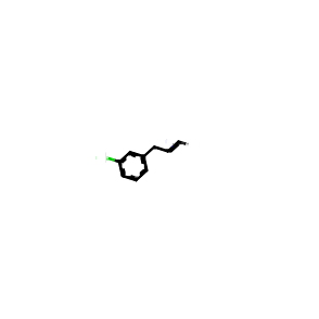 O=[C]/C=C/Cc1cccc(Cl)c1